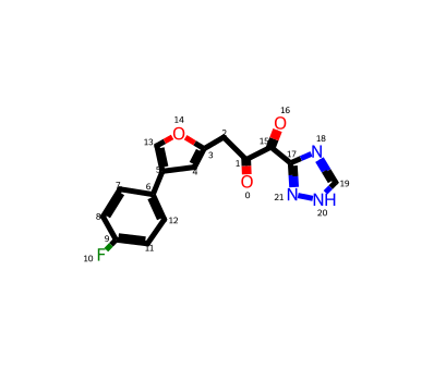 O=C(Cc1cc(-c2ccc(F)cc2)co1)C(=O)c1nc[nH]n1